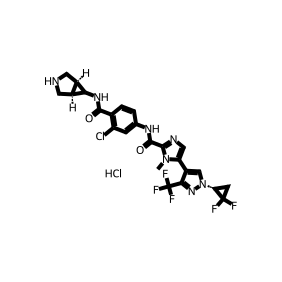 Cl.Cn1c(-c2cn([C@@H]3CC3(F)F)nc2C(F)(F)F)cnc1C(=O)Nc1ccc(C(=O)NC2[C@H]3CNC[C@@H]23)c(Cl)c1